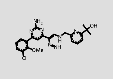 COc1c(Cl)cccc1-c1cc(/C(=C/NCc2cccc(C(C)(C)O)n2)N=N)nc(N)n1